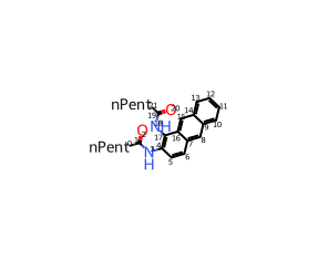 CCCCCC(=O)Nc1ccc2cc3ccccc3cc2c1NC(=O)CCCCC